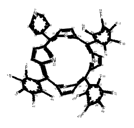 Fc1c(F)c(F)c(C2=C3C=CC(=N3)C(c3ccncc3)=C3C=CC(=N3)C(c3c(F)c(F)c(F)c(F)c3F)=C3C=CC(=N3)C(c3c(F)c(F)c(F)c(F)c3F)=C3C=CC2=N3)c(F)c1F